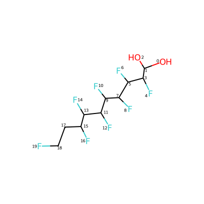 OC(O)C(F)C(F)C(F)C(F)C(F)C(F)C(F)CCF